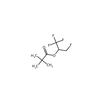 CC(C)(C)C(=O)OC(CF)C(F)(F)F